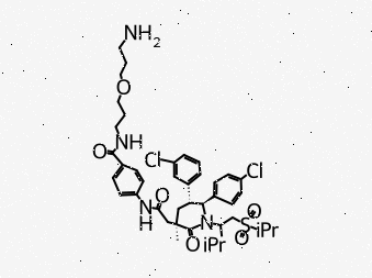 CC(C)C(CS(=O)(=O)C(C)C)N1C(=O)[C@@](C)(CC(=O)Nc2ccc(C(=O)NCCCOCCCN)cc2)C[C@H](c2cccc(Cl)c2)[C@H]1c1ccc(Cl)cc1